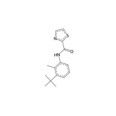 Cc1c(NC(=O)c2nccs2)cccc1C(C)(C)C